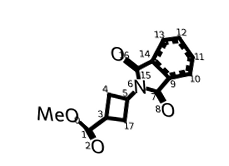 COC(=O)C1CC(N2C(=O)c3ccccc3C2=O)C1